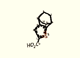 O=C(O)c1cc2c(s1)C1CCC2CC1